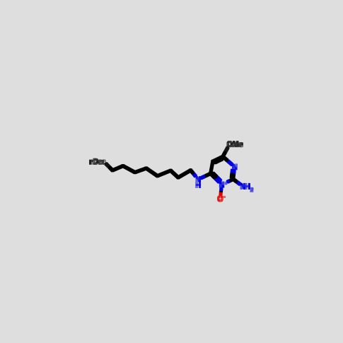 CCCCCCCCCCCCCCCCCCNc1cc(OC)nc(N)[n+]1[O-]